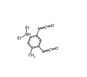 CCNCC.Cc1ccc(N=C=O)cc1N=C=O